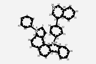 c1ccc(-n2ccc3c4c(ccc5c6ccccc6n(-c6ccc(-c7cncc8ccccc78)cc6)c54)ccc32)cc1